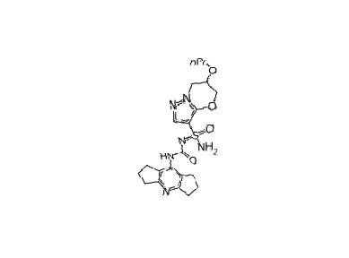 CCCOC1COc2c(S(N)(=O)=NC(=O)Nc3c4c(nc5c3CCC5)CCC4)cnn2C1